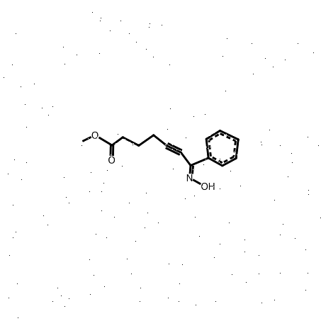 COC(=O)CCCC#C/C(=N/O)c1ccccc1